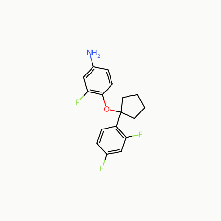 Nc1ccc(OC2(c3ccc(F)cc3F)CCCC2)c(F)c1